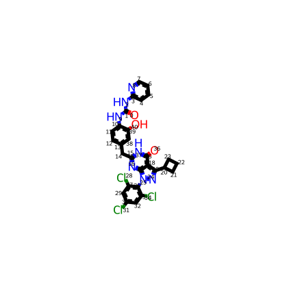 O=C(Nc1ccccn1)Nc1ccc(Cc2nc3c(c(C4CCC4)nn3-c3c(Cl)cc(Cl)cc3Cl)c(=O)[nH]2)cc1O